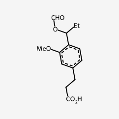 CCC(OC=O)c1ccc(CCC(=O)O)cc1OC